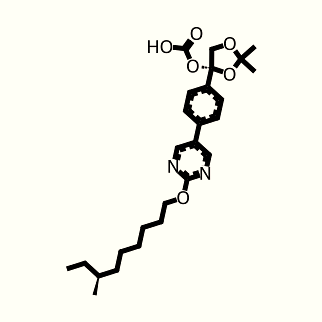 CC[C@H](C)CCCCCCOc1ncc(-c2ccc([C@@]3(OC(=O)O)COC(C)(C)O3)cc2)cn1